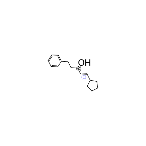 O[C@@H](/C=C/C1CCCC1)CCc1ccccc1